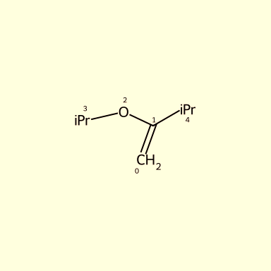 C=C(OC(C)C)C(C)C